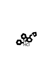 Cl.c1ccc(Cn2c3c(c4ccccc42)C(CN2CCCC2)CCC3)cc1